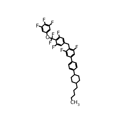 CCCCCC1CCC(c2ccc(-c3cc(F)c(Cc4cc(F)c(C(F)(F)Oc5cc(F)c(F)c(F)c5)c(F)c4)c(F)c3)cc2)CC1